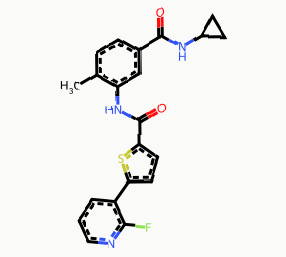 Cc1ccc(C(=O)NC2CC2)cc1NC(=O)c1ccc(-c2cccnc2F)s1